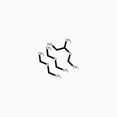 CCOC(C)CO.CCOCC.CCOCC